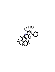 Cc1c(/C=C2\C(=O)N(c3ccccc3)N=C2OC=O)cc2c3c1C(C)(C)CCN3CCC2(C)C